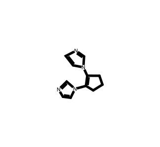 c1cn(C2=C(n3ccnc3)CCC2)cn1